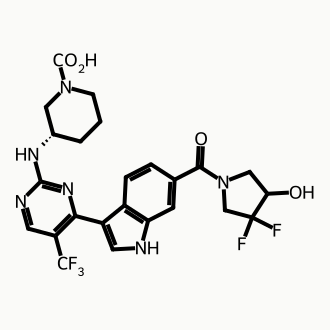 O=C(O)N1CCC[C@H](Nc2ncc(C(F)(F)F)c(-c3c[nH]c4cc(C(=O)N5CC(O)C(F)(F)C5)ccc34)n2)C1